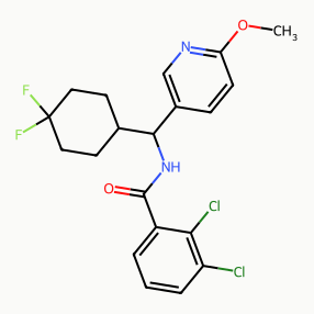 COc1ccc(C(NC(=O)c2cccc(Cl)c2Cl)C2CCC(F)(F)CC2)cn1